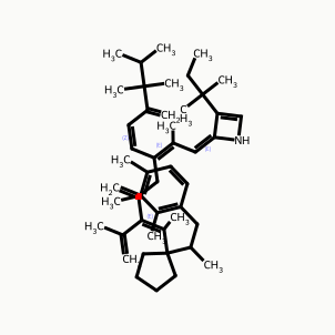 C=C(C)/C(C(=C)CC(/C=C\C(=C)C(C)(C)C(C)C)=C(C)\C=C1\NC=C1C(C)(C)CC)=C(/C)C1(C(C)Cc2ccc(C)c(C)c2C)CCCC1